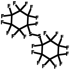 FC1(F)C(F)(F)C(F)(F)C(F)(SSC2(F)C(F)(F)C(F)(F)C(F)(F)C(F)(F)C2(F)F)C(F)(F)C1(F)F